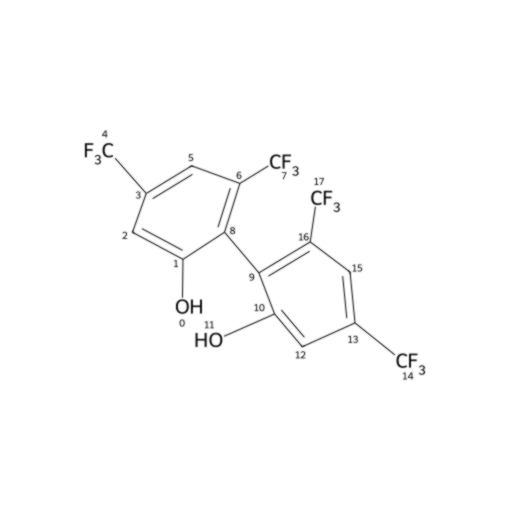 Oc1cc(C(F)(F)F)cc(C(F)(F)F)c1-c1c(O)cc(C(F)(F)F)cc1C(F)(F)F